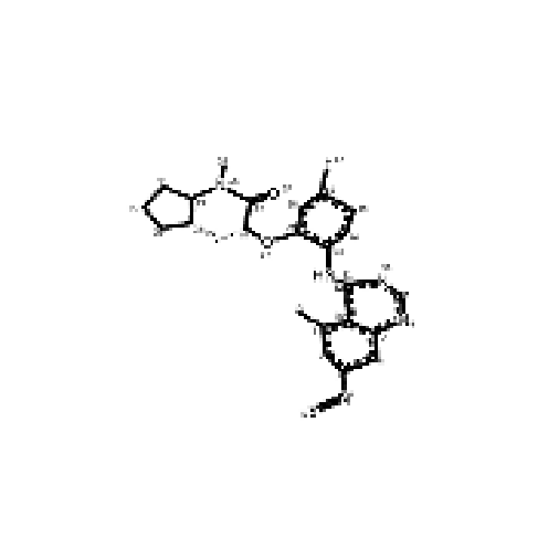 Cc1cc(N=S)cc2ncnc(Nc3ccc(F)cc3O[C@H](C)C(=O)N(C)C3CCCC3)c12